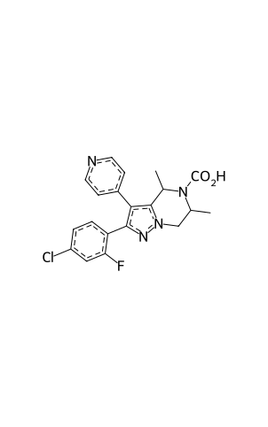 CC1Cn2nc(-c3ccc(Cl)cc3F)c(-c3ccncc3)c2C(C)N1C(=O)O